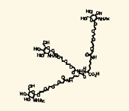 CC(=O)NC1C(OCCOCCOCCOCC(=O)NCCCC[C@H](NC(=O)[C@H](CCCCNC(=O)COCCOCCOCCO[C@@H]2O[C@H](CO)[C@H](O)[C@H](O)[C@H]2NC(C)=O)NC(=O)COCCOCCOCCO[C@@H]2O[C@H](CO)[C@H](O)[C@H](O)[C@H]2NC(C)=O)C(=O)O)O[C@H](CO)[C@H](O)[C@@H]1O